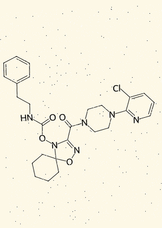 O=C(NCCc1ccccc1)ON1C(C(=O)N2CCN(c3ncccc3Cl)CC2)=NOC12CCCCC2